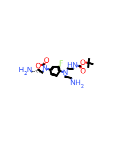 CC(C)(C)OC(=O)NCCN(CCN)c1ccc(N2C[C@H](CN)OC2=O)cc1F